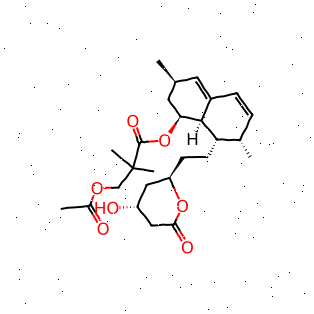 CC(=O)OCC(C)(C)C(=O)O[C@H]1C[C@@H](C)C=C2C=C[C@H](C)[C@H](CC[C@@H]3C[C@@H](O)CC(=O)O3)[C@H]21